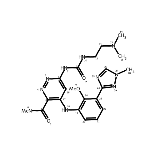 CNC(=O)c1nnc(NC(=O)NCCN(C)C)cc1Nc1cccc(-c2ncn(C)n2)c1OC